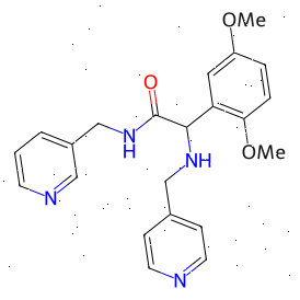 COc1ccc(OC)c(C(NCc2ccncc2)C(=O)NCc2cccnc2)c1